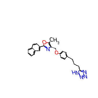 Cc1oc(-c2ccc3ccccc3c2)nc1COc1ccc(CCCc2nnn[nH]2)cc1